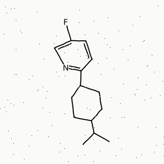 CC(C)C1CCC(c2ccc(F)cn2)CC1